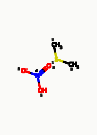 CSC.O=[N+]([O-])O